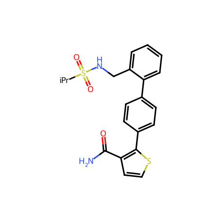 CC(C)S(=O)(=O)NCc1ccccc1-c1ccc(-c2sccc2C(N)=O)cc1